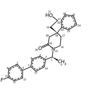 C[C@@H](c1ccc(-c2ccc(F)cc2)cc1)N1CC[C@@](CCO)(c2ccccc2)CC1=O